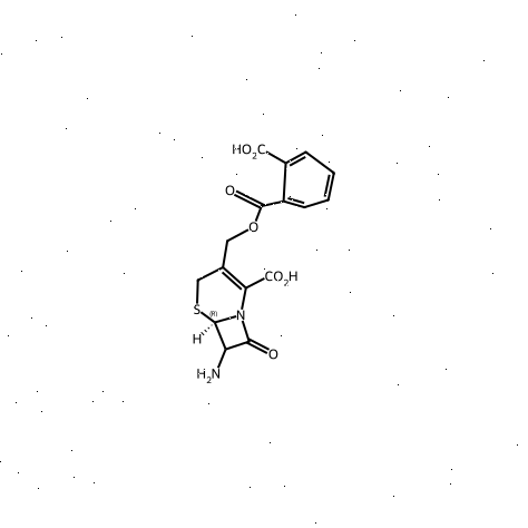 NC1C(=O)N2C(C(=O)O)=C(COC(=O)c3ccccc3C(=O)O)CS[C@H]12